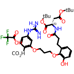 CC(C)(C)OC(=O)C[C@H](NC(=O)CCc1cccc(O)c1OCCCOc1cc(NC(=N)N)ccc1C(=O)O)C(=O)OC(C)(C)C.O=C(O)C(F)(F)F